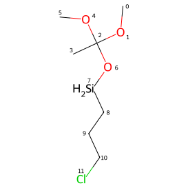 COC(C)(OC)O[SiH2]CCCCl